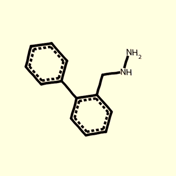 NNCc1ccccc1-c1ccccc1